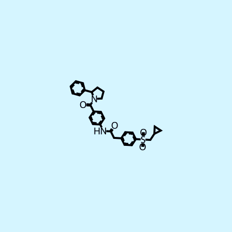 O=C(Cc1ccc(S(=O)(=O)CC2CC2)cc1)Nc1ccc(C(=O)N2CCCC2c2ccccc2)cc1